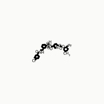 CC(C)C1CC[C@@H](C)CC1OC(=O)Oc1ccc(C(=O)NS(=O)(=O)c2cccc(CCNC(=O)c3ccc(Cl)cc3)c2)cn1